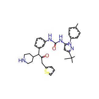 Cc1ccc(-n2nc(C(C)(C)C)cc2NC(=O)Nc2cccc(C(C(=O)Cc3cccs3)C3CCNCC3)c2)cc1